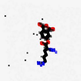 NCCCC[C@H](N)C(=O)Oc1ccc2c(c1)C(=O)OC2=O